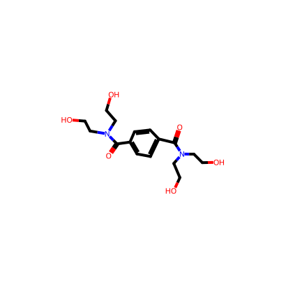 O=C(c1ccc(C(=O)N(CCO)CCO)cc1)N(CCO)CCO